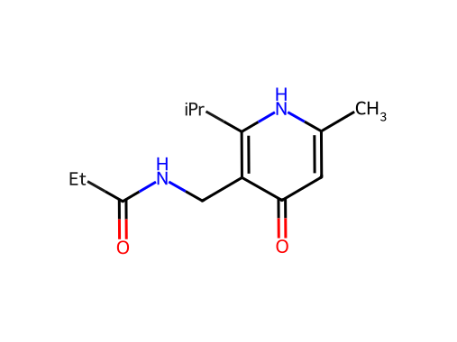 CCC(=O)NCc1c(C(C)C)[nH]c(C)cc1=O